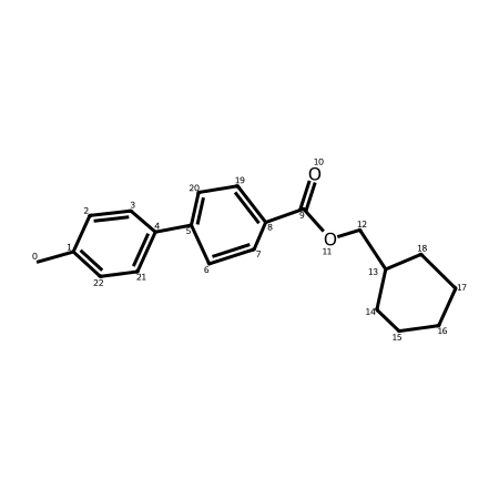 Cc1ccc(-c2ccc(C(=O)OCC3CCCCC3)cc2)cc1